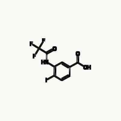 O=C(O)c1ccc(I)c(NC(=O)C(F)(F)F)c1